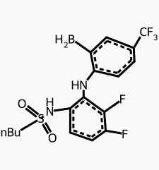 Bc1cc(C(F)(F)F)ccc1Nc1c(NS(=O)(=O)CCCC)ccc(F)c1F